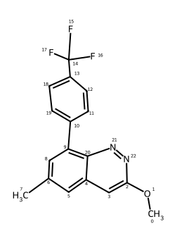 COc1cc2cc(C)cc(-c3ccc(C(F)(F)F)cc3)c2nn1